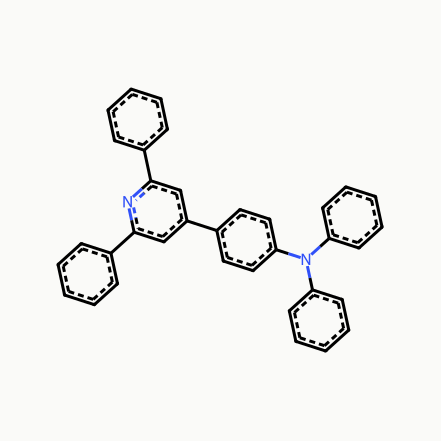 c1ccc(-c2cc(-c3ccc(N(c4ccccc4)c4ccccc4)cc3)cc(-c3ccccc3)n2)cc1